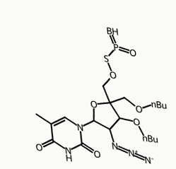 B=P(=O)SOCC1(COCCCC)OC(n2cc(C)c(=O)[nH]c2=O)C(N=[N+]=[N-])C1OCCCC